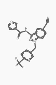 N#Cc1ccc2c(c1)c(NC(=O)c1ccoc1)nn2Cc1ccc(C(F)(F)F)nc1